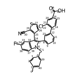 Cc1ccc(Sn2c(-c3cccc(-c4ccc(C(=O)O)cc4Cl)c3)c(-c3ccsc3C#N)c3cc(F)ccc32)cc1